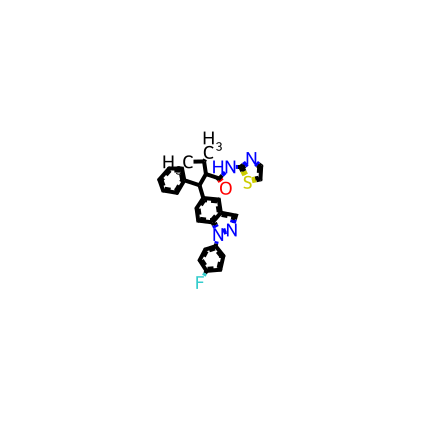 CC(C)C(C(=O)Nc1nccs1)C(c1ccccc1)c1ccc2c(cnn2-c2ccc(F)cc2)c1